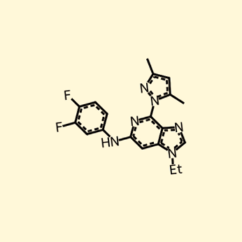 CCn1cnc2c(-n3nc(C)cc3C)nc(Nc3ccc(F)c(F)c3)cc21